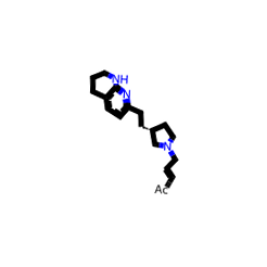 CC(=O)/C=C/CN1CC[C@@H](CCc2ccc3c(n2)NCCC3)C1